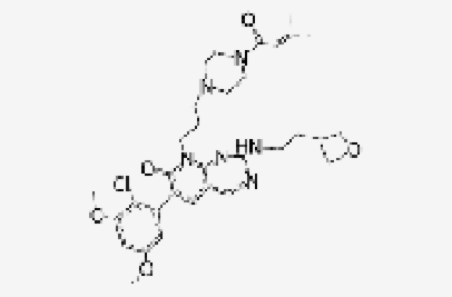 COc1cc(OC)c(Cl)c(-c2cc3cnc(NCCC4COC4)nc3n(CCCN3CCN(C(=O)C=C(C)C)CC3)c2=O)c1